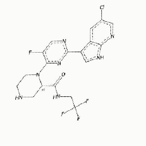 O=C(NCC(F)(F)F)[C@@H]1CNCCN1c1nc(-c2c[nH]c3ncc(Cl)cc23)ncc1F